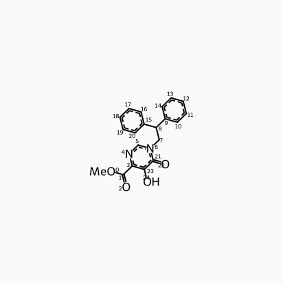 COC(=O)c1ncn(CC(c2ccccc2)c2ccccc2)c(=O)c1O